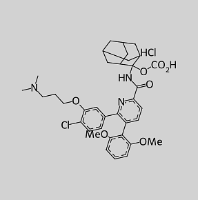 COc1cccc(OC)c1-c1ccc(C(=O)NC2(OC(=O)O)C3CC4CC(C3)CC2C4)nc1-c1ccc(Cl)c(OCCCN(C)C)c1.Cl